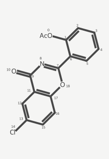 CC(=O)Oc1ccccc1-c1nc(=O)c2cc(Cl)ccc2o1